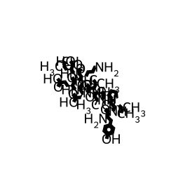 CC(C)C[C@H](NC(=O)[C@H](CCCCN)NC(=O)[C@H](CCC(=O)O)NC(=O)[C@H](CC(=O)O)NC(=O)[C@@H](NC(=O)[C@H](C)NC(=O)[C@@H]1CCCN1C(=O)[C@H](CC(C)C)NC(=O)[C@@H](N)Cc1ccc(O)cc1)C(C)C)C(=O)O